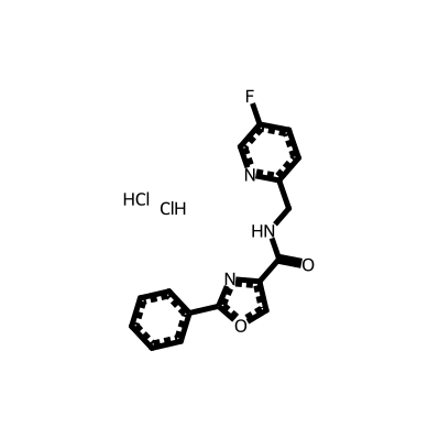 Cl.Cl.O=C(NCc1ccc(F)cn1)c1coc(-c2ccccc2)n1